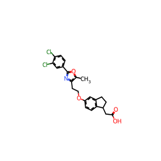 Cc1oc(-c2ccc(Cl)c(Cl)c2)nc1CCOc1ccc2c(c1)CCC2CC(=O)O